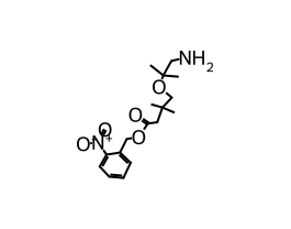 CC(C)(COC(C)(C)CN)CC(=O)OCc1ccccc1[N+](=O)[O-]